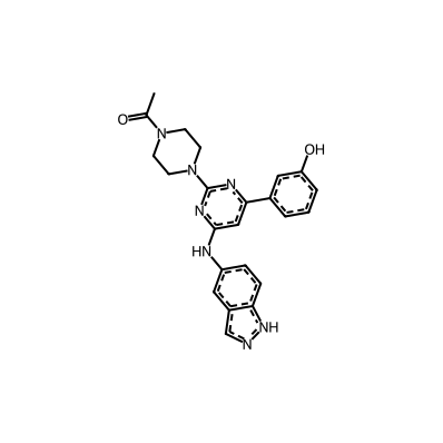 CC(=O)N1CCN(c2nc(Nc3ccc4[nH]ncc4c3)cc(-c3cccc(O)c3)n2)CC1